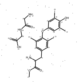 COC(=O)C(N)Cc1cc(I)c(Oc2cc(I)c(O)c(I)c2)c(I)c1.NCC(=O)NCC(=O)O